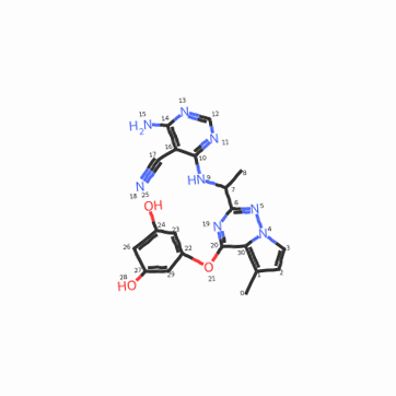 Cc1ccn2nc(C(C)Nc3ncnc(N)c3C#N)nc(Oc3cc(O)cc(O)c3)c12